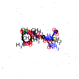 COc1cc2cc(c1Cl)N(C)C(=O)C[C@H](OC(=O)[C@H](C)N(C)C(=O)CCN(C)C(=O)OCc1ccc(NC(=O)[C@H](CCCNC(N)=O)NC(=O)[C@@H](NC(=S)CCCN3C(=O)C=CC3=O)C(C)C)cc1)[C@]1(C)O[C@H]1[C@H](C)[C@@H]1C[C@@](O)(NC(=O)O1)[C@H](OC)/C=C/C=C(\C)C2